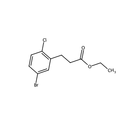 CCOC(=O)CCc1cc(Br)ccc1Cl